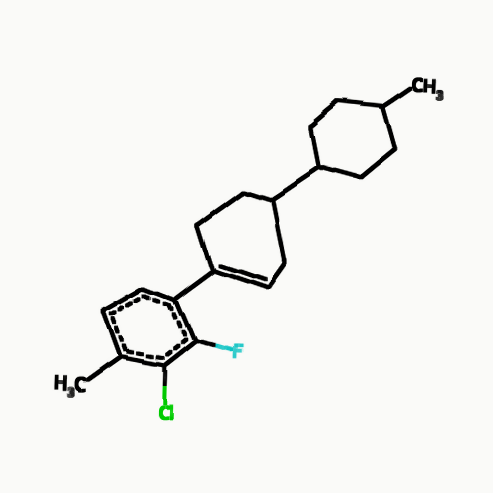 Cc1ccc(C2=CCC(C3CCC(C)CC3)CC2)c(F)c1Cl